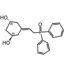 O=P(CC=C1C[C@@H](O)C[C@H](O)C1)(c1ccccc1)c1ccccc1